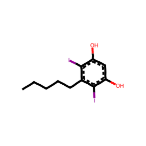 CCCCCc1c(I)c(O)cc(O)c1I